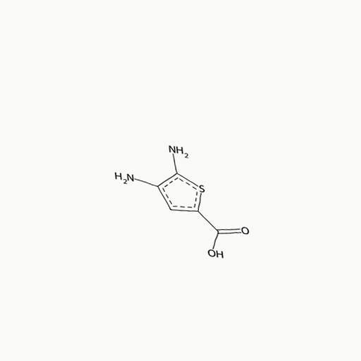 Nc1cc(C(=O)O)sc1N